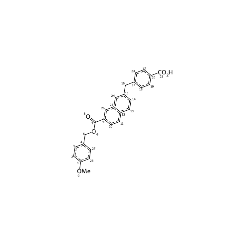 COc1ccc(COC(=O)c2ccc3ccc(Cc4ccc(C(=O)O)cc4)cc3c2)cc1